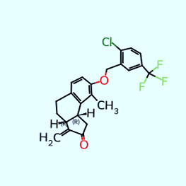 C=C1C(=O)C[C@H]2c3c(ccc(OCc4cc(C(F)(F)F)ccc4Cl)c3C)CC[C@@H]12